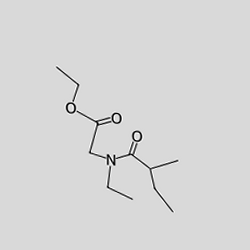 CCOC(=O)CN(CC)C(=O)C(C)CC